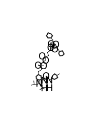 Cc1ccc(NC(=O)Nc2cc(CCC(=O)OCOC(=O)CCCOP(=O)(OCc3ccccc3)OCc3ccccc3)ccc2N(CC(C)C)CC(C)C)cc1